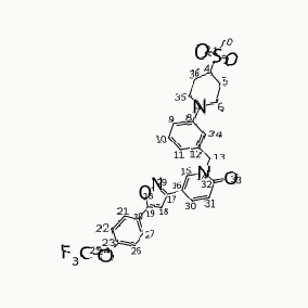 CS(=O)(=O)C1CCN(c2cccc(Cn3cc(-c4cc(-c5ccc(OC(F)(F)F)cc5)on4)ccc3=O)c2)CC1